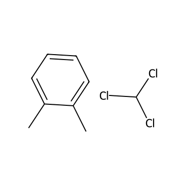 Cc1ccccc1C.ClC(Cl)Cl